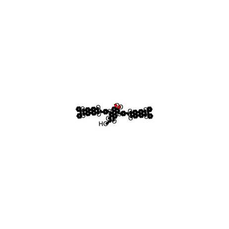 CC(=O)c1ccc2c3c(Oc4ccc(CCN5C(=O)c6ccc7c8ccc9c%10c(ccc(c%11ccc(c6c7%11)C5=O)c%108)C(=O)N(C(c5ccccc5)c5ccccc5)C9=O)cc4)cc4c5c(ccc(c6c(Oc7ccc(CCN8C(=O)c9ccc%10c%11ccc%12c%13c(ccc(c%14ccc(c9c%10%14)C8=O)c%13%11)C(=O)N(C(c8ccccc8)c8ccccc8)C%12=O)cc7)cc(C(C)=O)c1c26)c53)C(=O)N(CCCO)C4=O